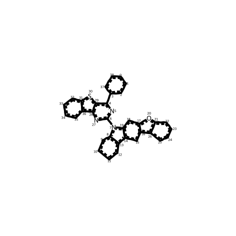 c1ccc(-c2nc(-n3c4ccccc4c4cc5c(cc43)oc3ccccc35)nc3c2sc2ccccc23)cc1